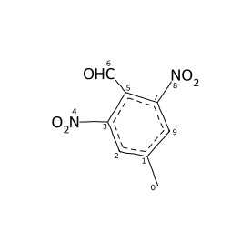 Cc1cc([N+](=O)[O-])c(C=O)c([N+](=O)[O-])c1